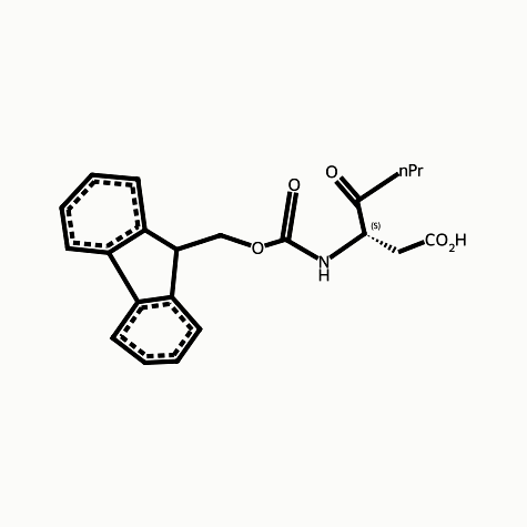 CCCC(=O)[C@H](CC(=O)O)NC(=O)OCC1c2ccccc2-c2ccccc21